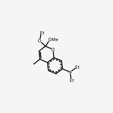 CCOC1(OC)C=C(C)c2ccc(N(CC)CC)cc2O1